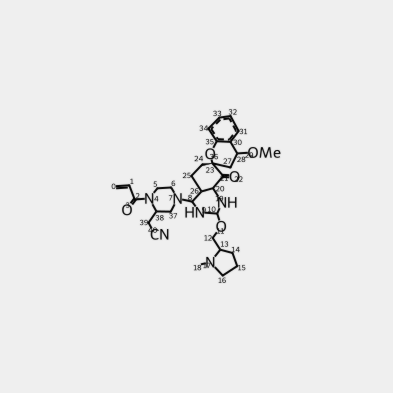 C=CC(=O)N1CCN(C2NC(OCC3CCCN3C)NC3C(=O)[C@@]4(CCC32)CC(OC)c2ccccc2O4)CC1CC#N